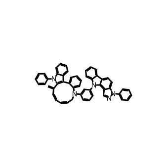 C=C1/C=C\C=C/CN(c2cccc(-n3c4ccccc4c4ccc5c(cnn5-c5ccccc5)c43)c2)c2ccccc2-c2c1n(-c1ccccc1)c1ccccc21